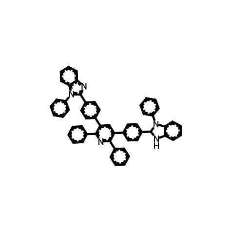 c1ccc(-c2nc(-c3ccccc3)c(-c3ccc(C4Nc5ccccc5N4c4ccccc4)cc3)cc2-c2ccc(-c3nc4ccccc4n3-c3ccccc3)cc2)cc1